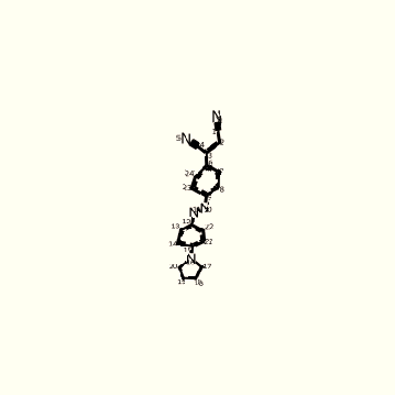 N#CC=C(C#N)c1ccc(/N=N/c2ccc(N3CCCC3)cc2)cc1